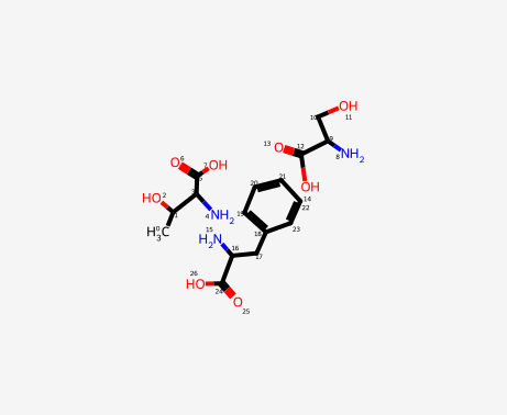 CC(O)C(N)C(=O)O.NC(CO)C(=O)O.NC(Cc1ccccc1)C(=O)O